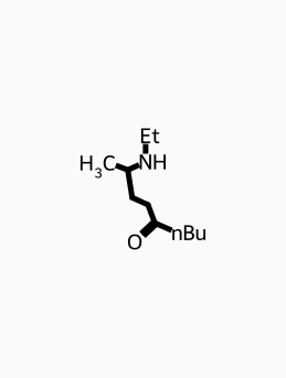 CCCCC(=O)CCC(C)NCC